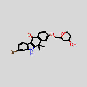 CC1(C)c2cc(OCC3CC(O)CCO3)ccc2C(=O)c2c1[nH]c1cc(Br)ccc21